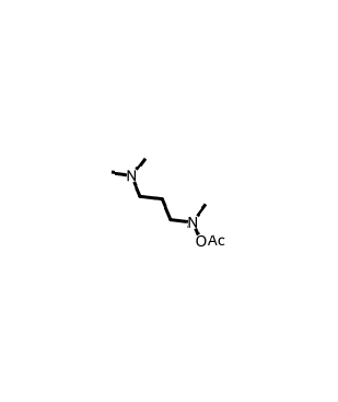 CC(=O)ON(C)CCCN(C)C